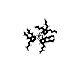 CCCCc1ccc(OP(=O)(Oc2ccc(CCCC)c(CCCC)c2CCCC)Oc2ccc(CCCC)c(CCCC)c2CCCC)c(CCCC)c1CCCC